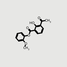 COc1ccccc1OC(=O)c1cccc(C(C)=O)c1O